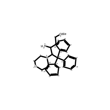 COCCC(N)C(N1CCOCC1)C(c1ccccc1)(c1ccccc1)c1ccccc1